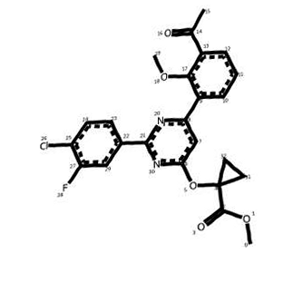 COC(=O)C1(Oc2cc(-c3cccc(C(C)=O)c3OC)nc(-c3ccc(Cl)c(F)c3)n2)CC1